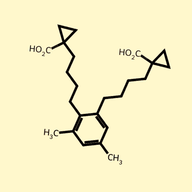 Cc1cc(C)c(CCCCC2(C(=O)O)CC2)c(CCCCC2(C(=O)O)CC2)c1